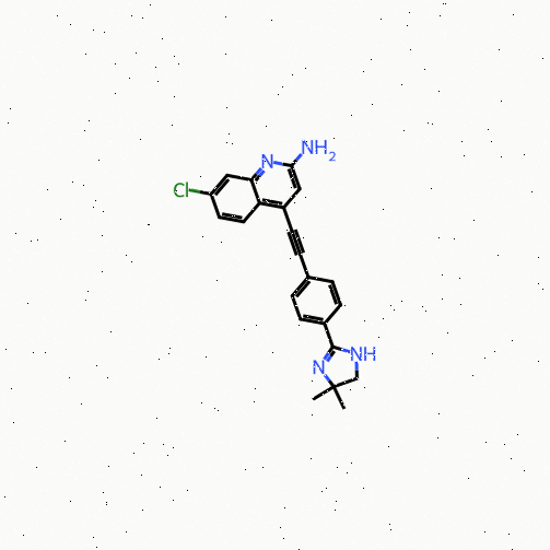 CC1(C)CNC(c2ccc(C#Cc3cc(N)nc4cc(Cl)ccc34)cc2)=N1